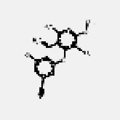 C=Cc1c(C)nc(OC)c(N)c1Oc1cc(Cl)cc(C#N)c1